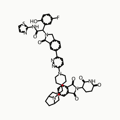 O=C1CCC(N2C(=O)c3ccc(N4C5CCC4CN(CC4CCN(c6ccc(-c7ccc8c(c7)C(=O)N(C(C(=O)Nc7nccs7)c7cc(F)ccc7O)C8)nn6)CC4)C5)cc3C2=O)C(=O)N1